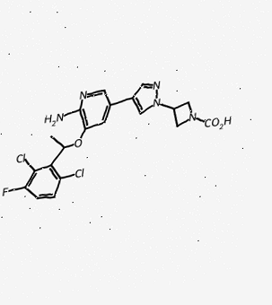 CC(Oc1cc(-c2cnn(C3CN(C(=O)O)C3)c2)cnc1N)c1c(Cl)ccc(F)c1Cl